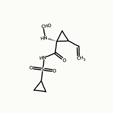 C=CC1C[C@]1(NC=O)C(=O)NS(=O)(=O)C1CC1